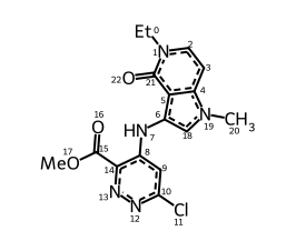 CCn1ccc2c(c(Nc3cc(Cl)nnc3C(=O)OC)cn2C)c1=O